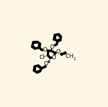 C=CCOC1O[C@H](COCc2ccccc2)[C@H](Cl)[C@H](OCc2ccccc2)[C@H]1OCc1ccccc1